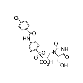 O=C(Nc1ccc(S(=O)(=O)CC(CN2C(=O)NC(=O)C2CO)C(=O)O)cc1)c1ccc(Cl)cc1